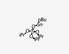 CCC[CH2][Sn][O][Ti]([O]C(C)C)([O]C(C)C)[O]C(C)C